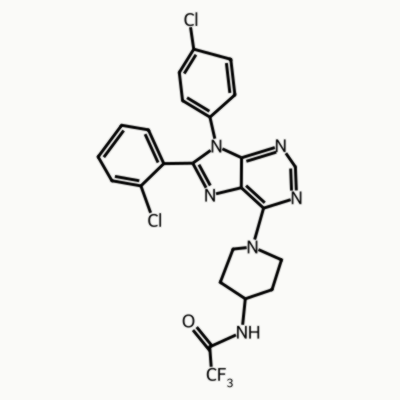 O=C(NC1CCN(c2ncnc3c2nc(-c2ccccc2Cl)n3-c2ccc(Cl)cc2)CC1)C(F)(F)F